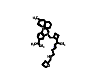 C=C(C)c1ccc2c(c1)N(CC1CCC1C(C)/C=C/CCNCC1CCCO1)CC1(CCCc3cc(C)ccc31)O2